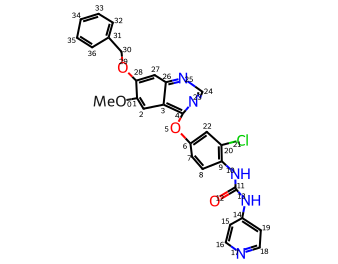 COc1cc2c(Oc3ccc(NC(=O)Nc4ccncc4)c(Cl)c3)ncnc2cc1OCc1ccccc1